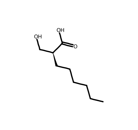 CCCCCC[C@@H](CO)C(=O)O